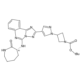 CC(C)(C)OC(=O)N1CC(n2cc(-c3nc4c5ccccc5nc(N[C@@H]5CCCCNC5=O)n4n3)cn2)C1